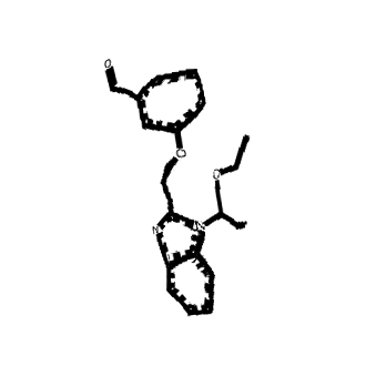 CCOC(C)n1c(COc2cccc(C=O)c2)nc2ccccc21